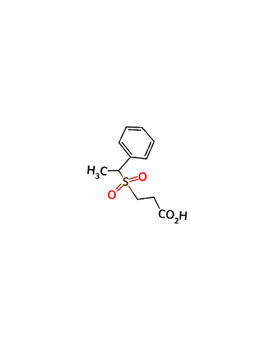 CC(c1ccccc1)S(=O)(=O)CCC(=O)O